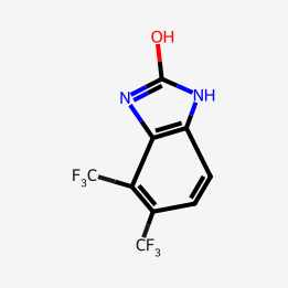 Oc1nc2c(C(F)(F)F)c(C(F)(F)F)ccc2[nH]1